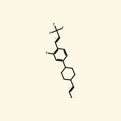 C/C=C/C1CCC(c2ccc(/C=C/C(F)(F)F)c(F)c2)CC1